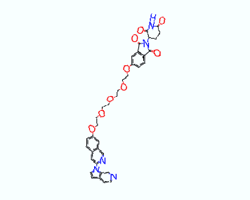 O=C1CCC(N2C(=O)c3ccc(OCCOCCOCCOCCOc4ccc5cc(-n6ccc7ccncc76)ncc5c4)cc3C2=O)C(=O)N1